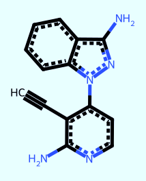 C#Cc1c(-n2nc(N)c3ccccc32)ccnc1N